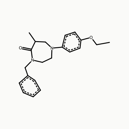 CCOc1ccc(N2CCN(Cc3ccccc3)C(=O)C(C)C2)cc1